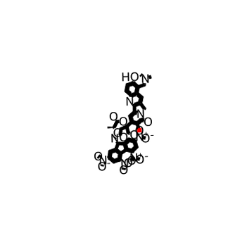 CCC1(OC(=O)[C@H](C)ON=C2c3cc([N+](=O)[O-])cc([N+](=O)[O-])c3-c3c2cc([N+](=O)[O-])cc3[N+](=O)[O-])C(=O)OCc2c1cc1n(c2=O)Cc2cc3c(CN(C)C)c(O)ccc3nc2-1